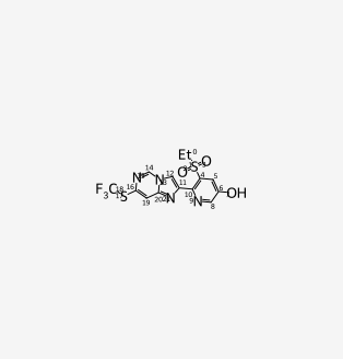 CCS(=O)(=O)c1cc(O)cnc1-c1cn2cnc(SC(F)(F)F)cc2n1